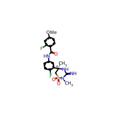 COc1ccc(C(=O)Nc2ccc(F)c([C@]3(C)CS(=O)(=O)N(C)C(=N)N3)c2)c(F)c1